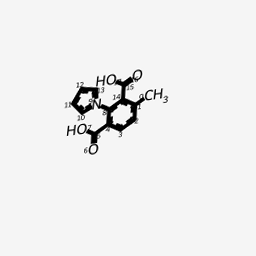 Cc1ccc(C(=O)O)c(-n2cccc2)c1C(=O)O